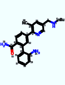 CCCCNCc1cnc(-c2ccc(C(N)=O)c(-c3ccccc3N)c2)c(C#N)c1